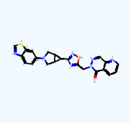 O=c1c2cccnc2cnn1Cc1nc(C2C3CN(c4ccc5ncsc5c4)CC32)no1